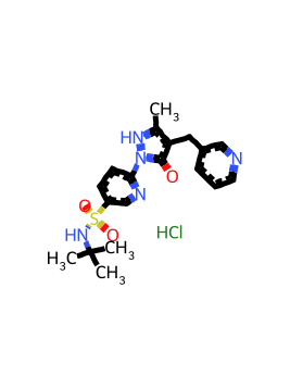 Cc1[nH]n(-c2ccc(S(=O)(=O)NC(C)(C)C)cn2)c(=O)c1Cc1cccnc1.Cl